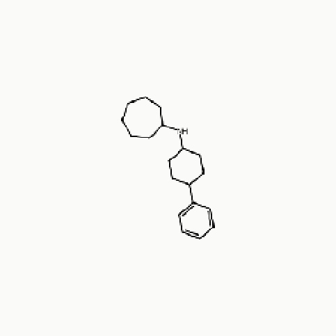 c1ccc(C2CCC(NC3CCCCCC3)CC2)cc1